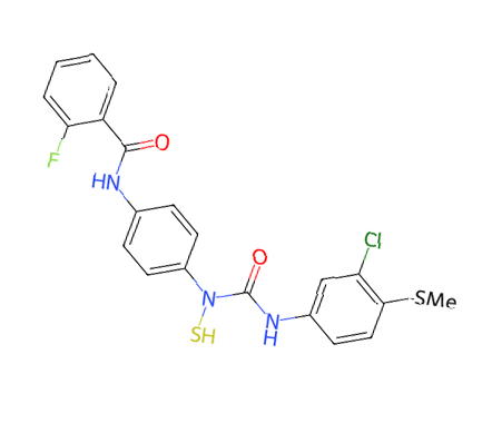 CSc1ccc(NC(=O)N(S)c2ccc(NC(=O)c3ccccc3F)cc2)cc1Cl